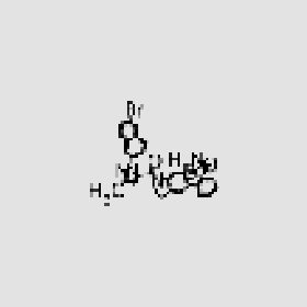 Cc1cc(C(=O)N2CCc3cc(-c4ccccc4S(N)(=O)=O)ccc32)n(-c2ccc3cc(Br)ccc3c2)n1